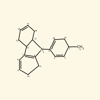 CC1C=CC(N2C3=C(C=CCC3)C3CC=CCC32)=CC1